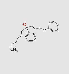 CCCCCCC([O])(CCCCc1ccccc1)c1ccccc1